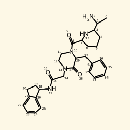 CC(N)C1CCCC(C(=O)N2CCN(CC(=O)N[C@@H]3CCc4ccccc43)C(=O)C2Cc2ccccc2)N1